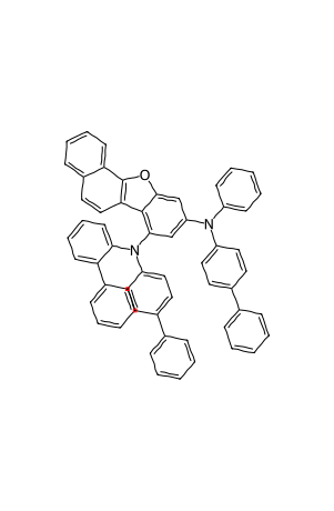 c1ccc(-c2ccc(N(c3ccccc3)c3cc(N(c4ccc(-c5ccccc5)cc4)c4ccccc4-c4ccccc4)c4c(c3)oc3c5ccccc5ccc34)cc2)cc1